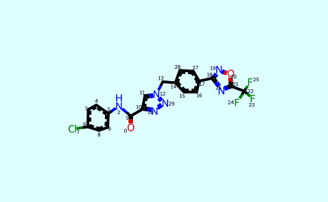 O=C(Nc1ccc(Cl)cc1)c1cn(Cc2ccc(-c3noc(C(F)(F)F)n3)cc2)nn1